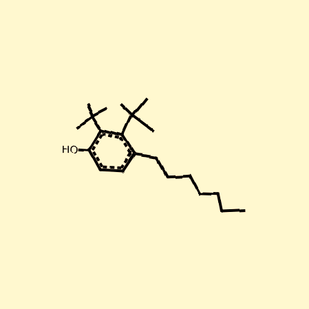 CCCCCCCc1ccc(O)c(C(C)(C)C)c1C(C)(C)C